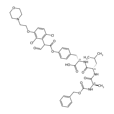 CC(C)C[C@H](NC(=O)[C@@H](C)NC(=O)OCc1ccccc1)C(=O)N[C@@H](Cc1ccc(OC(=O)C(C=O)c2c(Cl)ccc(OCCN3CCOCC3)c2Cl)cc1)C(=O)O